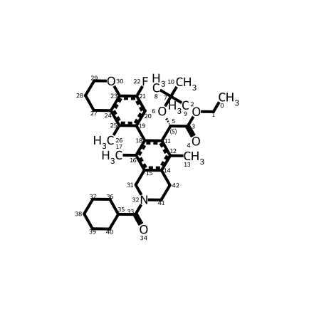 CCOC(=O)[C@@H](OC(C)(C)C)c1c(C)c2c(c(C)c1-c1cc(F)c3c(c1C)CCCO3)CN(C(=O)C1CCCCC1)CC2